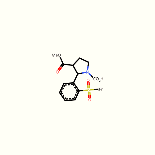 COC(=O)C1CCN(C(=O)O)C1c1ccccc1S(=O)(=O)C(C)C